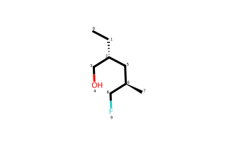 CC[C@@H](CO)C[C@@H](C)CF